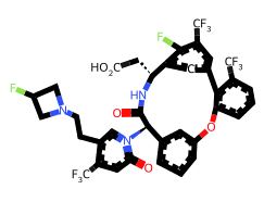 O=C(O)C[C@H]1NC(=O)[C@H](n2cc(CCN3CC(F)C3)c(C(F)(F)F)cc2=O)c2cccc(c2)Oc2cccc(C(F)(F)F)c2-c2cc1c(F)c(C(F)(F)F)c2